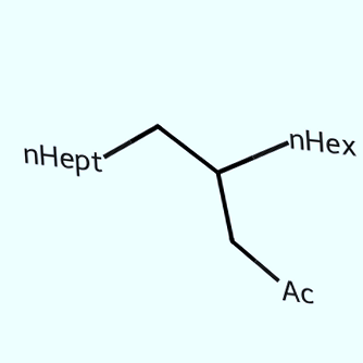 CCCCCCCCC(CCCCCC)CC(C)=O